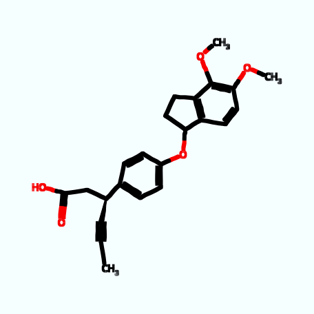 CC#C[C@@H](CC(=O)O)c1ccc(OC2CCc3c2ccc(OC)c3OC)cc1